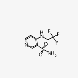 NS(=O)(=O)c1cnccc1NCC(F)(F)F